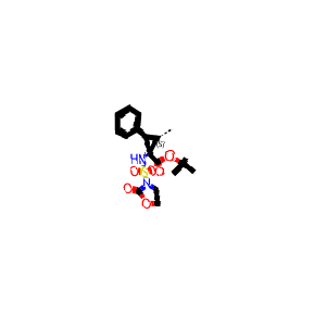 C[C@H]1C(c2ccccc2)[C@]1(NS(=O)(=O)N1CCOC1=O)C(=O)OC(C)(C)C